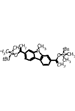 C=C(O[Si](C)(C)C(C)(C)C)c1ccc2c3ccc(C(=C)O[Si](C)(C)C(C)(C)C)cc3n(C)c2c1